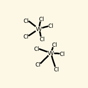 [Cl][W]([Cl])([Cl])([Cl])[Cl].[Cl][W]([Cl])([Cl])([Cl])[Cl]